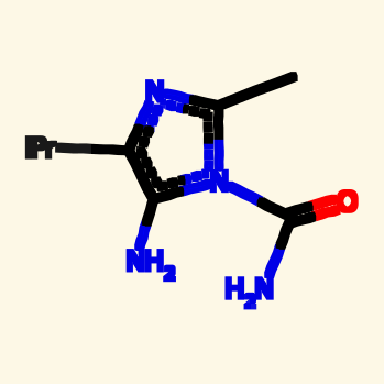 Cc1nc(C(C)C)c(N)n1C(N)=O